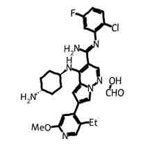 CCc1cnc(OC)cc1-c1cc2c(N[C@H]3CC[C@H](N)CC3)c(C(N)=Nc3cc(F)ccc3Cl)cnn2c1.O=CO